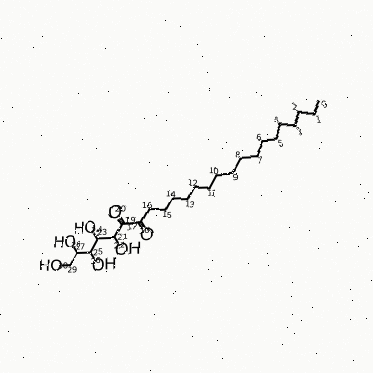 CCCCCCCCCCCCCCCCCC(=O)C(=O)C(O)C(O)C(O)C(O)CO